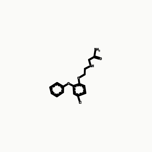 NC(=O)CNCCOc1ccc(Cl)cc1Oc1ccccc1